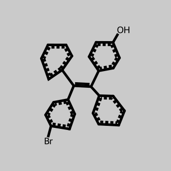 Oc1ccc(/C(=C(\c2ccccc2)c2ccc(Br)cc2)c2ccccc2)cc1